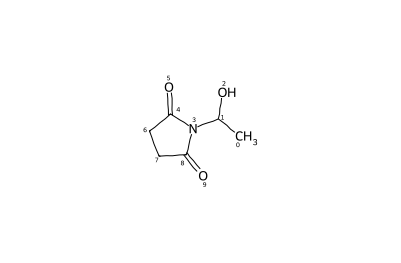 CC(O)N1C(=O)CCC1=O